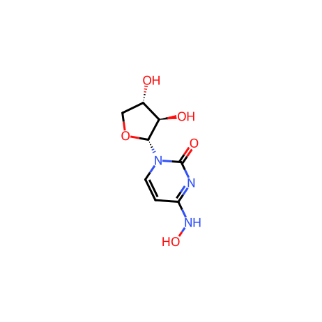 O=c1nc(NO)ccn1[C@@H]1OC[C@H](O)[C@H]1O